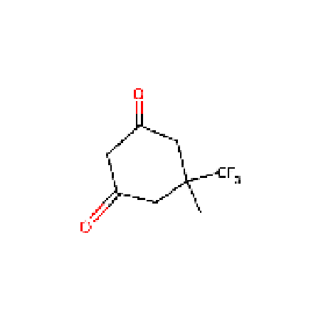 CC1(C(F)(F)F)CC(=O)CC(=O)C1